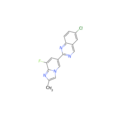 Cc1cn2cc(-c3ncc4cc(Cl)ccc4n3)cc(F)c2n1